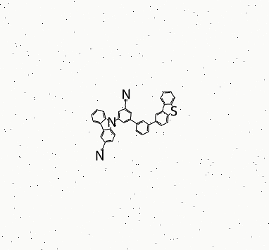 N#Cc1cc(-c2cccc(-c3ccc4sc5ccccc5c4c3)c2)cc(-n2c3ccccc3c3cc(C#N)ccc32)c1